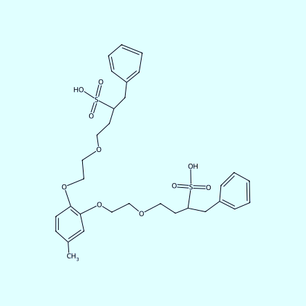 Cc1ccc(OCCOCCC(Cc2ccccc2)S(=O)(=O)O)c(OCCOCCC(Cc2ccccc2)S(=O)(=O)O)c1